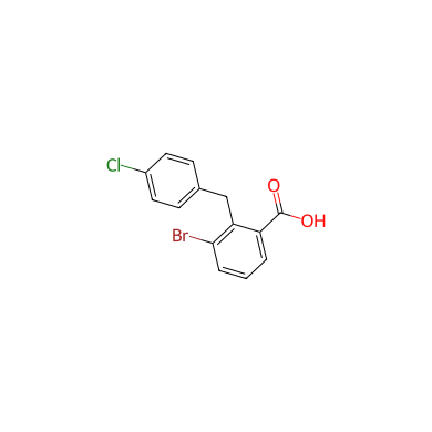 O=C(O)c1cccc(Br)c1Cc1ccc(Cl)cc1